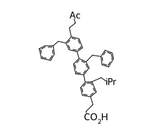 CC(=O)CCc1ccc(-c2ccc(-c3ccc(CCC(=O)O)cc3CC(C)C)cc2Cc2ccccc2)cc1Cc1ccccc1